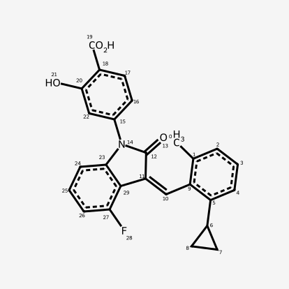 Cc1cccc(C2CC2)c1/C=C1\C(=O)N(c2ccc(C(=O)O)c(O)c2)c2cccc(F)c21